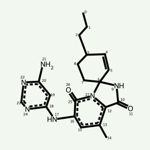 CCCC1C=CC2(CC1)NC(=O)c1c(C)cc(Nc3cc(N)ncn3)c(=O)n12